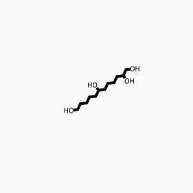 OCCCCCC(O)CCCCC(O)CO